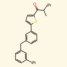 CC(C)c1cccc(Cc2cccc(-c3ccc(C(=O)C(C)C(C)C)s3)c2)c1